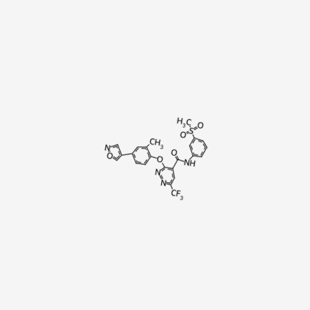 Cc1cc(-c2cnoc2)ccc1Oc1nnc(C(F)(F)F)cc1C(=O)Nc1cccc(S(C)(=O)=O)c1